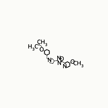 COc1ccnc(-c2nc(C3CCN(Cc4cccc(OCC(C)C)c4)C3)no2)c1